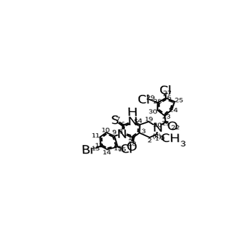 C[C@@H]1Cc2c([nH]c(=S)n(-c3ccc(Br)cc3Cl)c2=O)CN1C(=O)c1ccc(Cl)c(Cl)c1